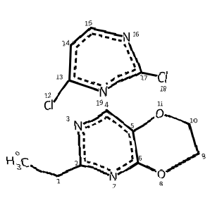 CCc1ncc2c(n1)OCCO2.Clc1ccnc(Cl)n1